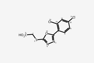 O=C(O)CSc1nnc(-c2ccc(Cl)cc2Cl)o1